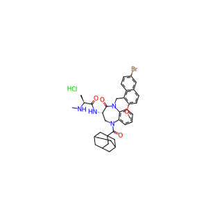 CN[C@@H](C)C(=O)N[C@H]1CN(C(=O)C23CC4CC(CC(C4)C2)C3)c2ccccc2N(Cc2c(OC)ccc3cc(Br)ccc23)C1=O.Cl